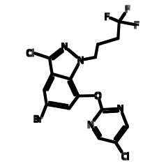 FC(F)(F)CCCn1nc(Cl)c2cc(Br)cc(Oc3ncc(Cl)cn3)c21